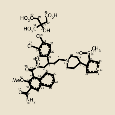 CCN(CC(CCN1CCC(c2ccccc2[S@+](C)[O-])CC1)c1ccc(Cl)c(Cl)c1)C(=O)c1c(OC)c(C(N)=O)cc2ccccc12.O=C(O)CC(O)(CC(=O)O)C(=O)O